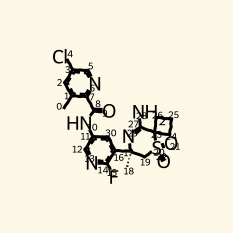 Cc1cc(Cl)cnc1C(=O)Nc1cnc(F)c([C@]2(C)CS(=O)(=O)C3(CCC3)C(N)=N2)c1